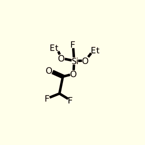 CCO[Si](F)(OCC)OC(=O)C(F)F